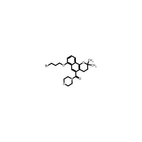 CC1(C)CCc2c(C(=O)N3CCOCC3)cc3c(OCCCBr)cccc3c2O1